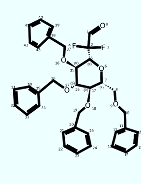 O=CC(F)(F)[C@@H]1O[C@H](COCc2ccccc2)[C@@H](OCc2ccccc2)[C@H](OCc2ccccc2)[C@H]1OCc1ccccc1